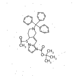 CC(=O)SC1CCN(C(c2ccccc2)(c2ccccc2)c2ccccc2)CC1=Cc1nccn1C(=O)OC(C)(C)C